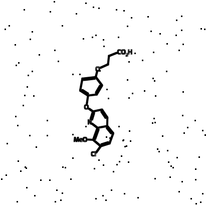 COc1c(Cl)ccc2ccc(Oc3ccc(OCCC(=O)O)cc3)nc12